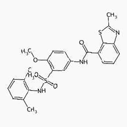 COc1ccc(NC(=O)c2cccc3nc(C)sc23)cc1S(=O)(=O)Nc1c(C)cccc1C